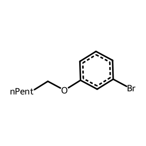 CCCCCCOc1cccc(Br)c1